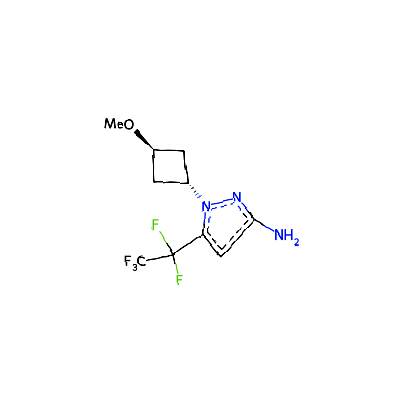 CO[C@H]1C[C@H](n2nc(N)cc2C(F)(F)C(F)(F)F)C1